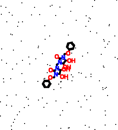 O=C1N(COc2ccccc2)C(O)C(O)N1CN1C(=O)N(COc2ccccc2)C(O)C1O